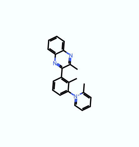 Cc1nc2ccccc2nc1-c1cccc(-[n+]2ccccc2C)c1C